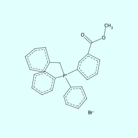 COC(=O)c1cccc([P+](Cc2ccccc2)(c2ccccc2)c2ccccc2)c1.[Br-]